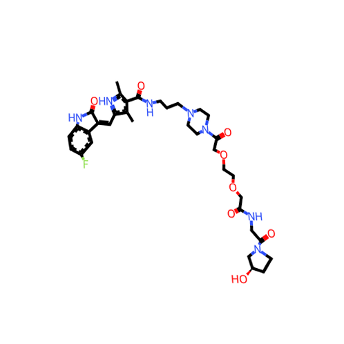 Cc1[nH]c(/C=C2\C(=O)Nc3ccc(F)cc32)c(C)c1C(=O)NCCCN1CCN(C(=O)COCCOCC(=O)NCC(=O)N2CC[C@@H](O)C2)CC1